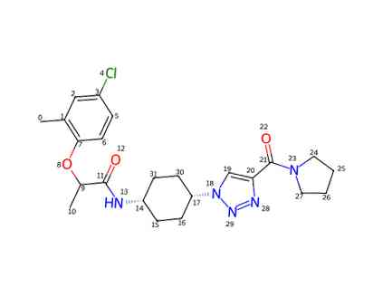 Cc1cc(Cl)ccc1OC(C)C(=O)N[C@H]1CC[C@@H](n2cc(C(=O)N3CCCC3)nn2)CC1